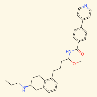 CCCN[C@H]1CCc2c(CCCC(NC(=O)c3ccc(-c4ccncc4)cc3)OC)cccc2C1